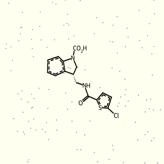 O=C(NC[C@H]1CN(C(=O)O)c2ccccc21)c1ccc(Cl)s1